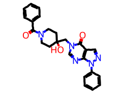 O=C(c1ccccc1)N1CCC(O)(Cn2cnc3c(cnn3-c3ccccc3)c2=O)CC1